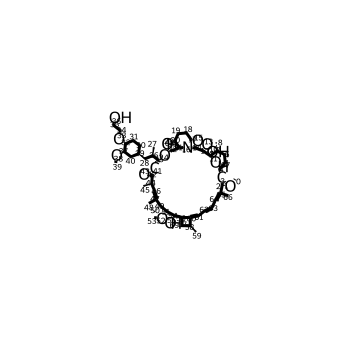 CO[C@H]1C[C@@H]2CC[C@@H](C)[C@@](O)(O2)C(=O)C(=O)N2CCCC[C@H]2C(=O)OC([C@H](C)C[C@@H]2CC[C@@H](OCCO)[C@H](OC)C2)CC(=O)[C@H](C)/C=C(\C)[C@@H](C)[C@@H](OC)C(=O)[C@H]2C[C@H](C)/C2=C/C=C/C=C/1C